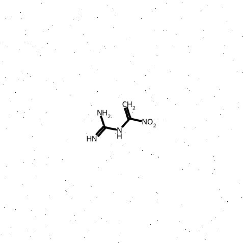 C=C(NC(=N)N)[N+](=O)[O-]